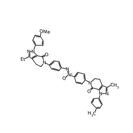 CCc1nn(-c2ccc(OC)cc2)c2c1CCN(c1ccc(/N=[N+](\[O-])c3ccc(N4CCc5c(C)nn(-c6ccc(C)cc6)c5C4=O)cc3)cc1)C2=O